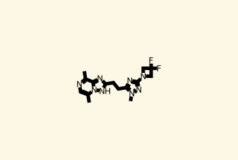 CC1=CN=C(C)C2=NC(CCc3nc(N4CC(F)(F)C4)nn3C)NN12